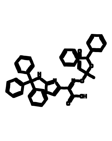 CC(C=C=O)(ON=C(C(=O)O)c1csc(NC(c2ccccc2)(c2ccccc2)c2ccccc2)n1)OC(c1ccccc1)c1ccccc1